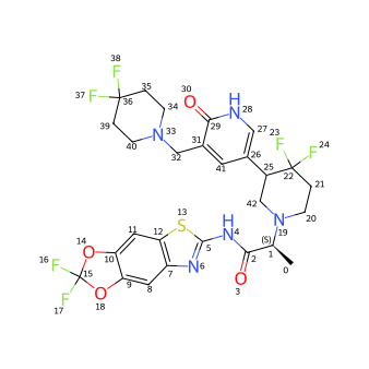 C[C@@H](C(=O)Nc1nc2cc3c(cc2s1)OC(F)(F)O3)N1CCC(F)(F)C(c2c[nH]c(=O)c(CN3CCC(F)(F)CC3)c2)C1